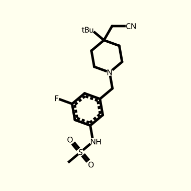 CC(C)(C)C1(CC#N)CCN(Cc2cc(F)cc(NS(C)(=O)=O)c2)CC1